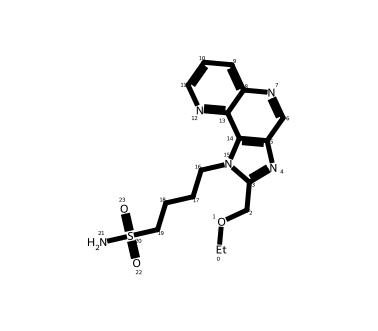 CCOCc1nc2cnc3cccnc3c2n1CCCCS(N)(=O)=O